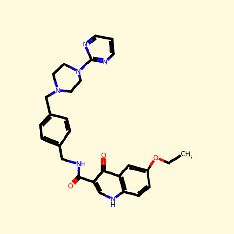 CCOc1ccc2[nH]cc(C(=O)NCc3ccc(CN4CCN(c5ncccn5)CC4)cc3)c(=O)c2c1